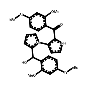 CCCCOc1ccc(C(=O)c2[nH]ccc2-n2cccc2C(O)c2ccc(OCCCC)cc2OC)c(OC)c1